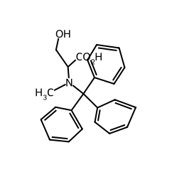 CN(C(CO)C(=O)O)C(c1ccccc1)(c1ccccc1)c1ccccc1